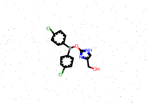 OCc1c[nH]c(OB(c2ccc(Cl)cc2)c2ccc(Cl)cc2)n1